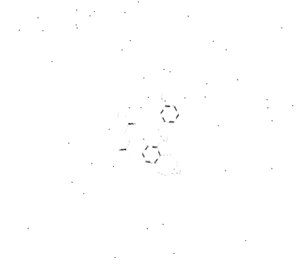 Clc1cccc(CNc2c(Cl)ccc3c2CCNCC3)c1.O=C(O)CCC(=O)O